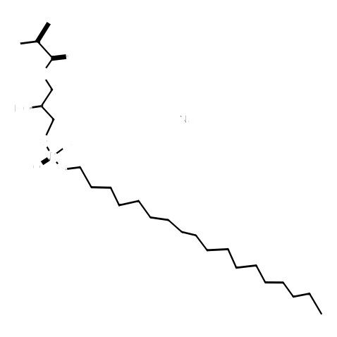 C=C(C)C(=O)OCC(O)COP(=O)([O-])OCCCCCCCCCCCCCCCCCC.[Na+]